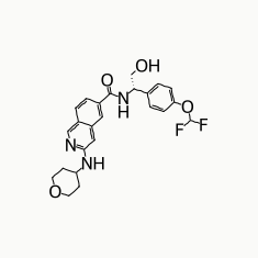 O=C(N[C@H](CO)c1ccc(OC(F)F)cc1)c1ccc2cnc(NC3CCOCC3)cc2c1